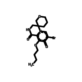 CCCCOc1c2n(cc(Br)c1=O)C1(CCCOC1)CNC2=O